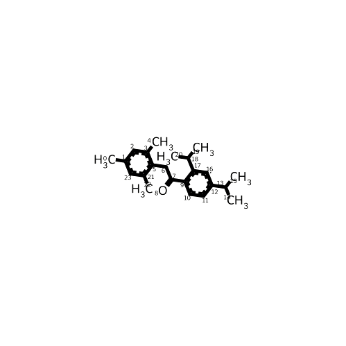 Cc1cc(C)c(CC(=O)c2ccc(C(C)C)[c]c2C(C)C)c(C)c1